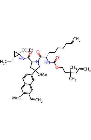 C=CCCCCC[C@H](NC(=O)OCCC(C)(C)CC=C)C(=O)N1C[C@](OC)(c2ccc3cc(OC)c(C=C)cc3c2)C[C@H]1C(=O)N[C@]1(C(=O)OCC)C[C@H]1C=C